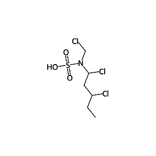 CCC(Cl)CC(Cl)N(CCl)S(=O)(=O)O